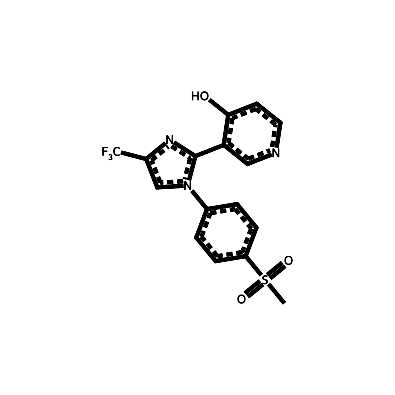 CS(=O)(=O)c1ccc(-n2cc(C(F)(F)F)nc2-c2cnccc2O)cc1